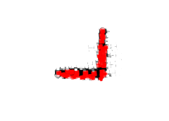 CN(C)c1cccc[n+]1C#N.CN(C)c1cccc[n+]1C#N.CN(C)c1cccc[n+]1C#N.CN(C)c1cccc[n+]1C#N.CN(C)c1cccc[n+]1C#N.CN(C)c1cccc[n+]1C#N.CN(C)c1cccc[n+]1C#N.CN(C)c1cccc[n+]1C#N.[O-]B([O-])F.[O-]B([O-])F.[O-]B([O-])F.[O-]B([O-])F